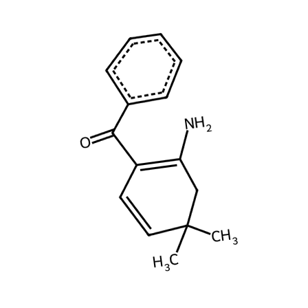 CC1(C)C=CC(C(=O)c2ccccc2)=C(N)C1